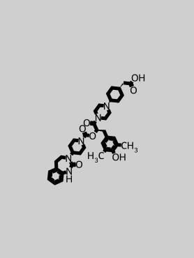 Cc1cc(C[C@@H](OC(=O)N2CCC(N3CCc4ccccc4NC3=O)CC2)C(=O)N2CCN([C@H]3CC[C@@H](CC(=O)O)CC3)CC2)cc(C)c1O